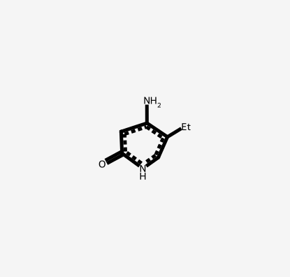 CCc1c[nH]c(=O)cc1N